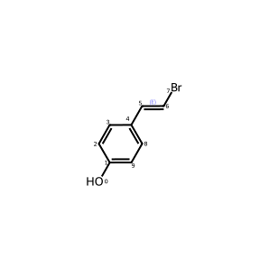 Oc1ccc(/C=C/Br)cc1